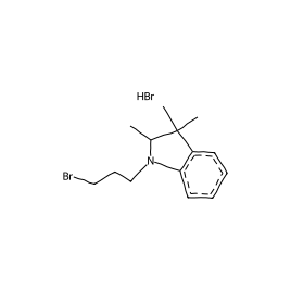 Br.CC1N(CCCBr)c2ccccc2C1(C)C